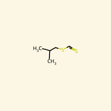 CC(C)CSC=S